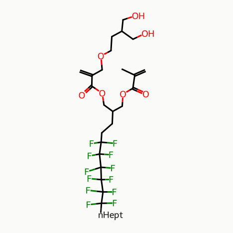 C=C(C)C(=O)OCC(CCC(F)(F)C(F)(F)C(F)(F)C(F)(F)C(F)(F)C(F)(F)CCCCCCC)COC(=O)C(=C)COCCC(CO)CO